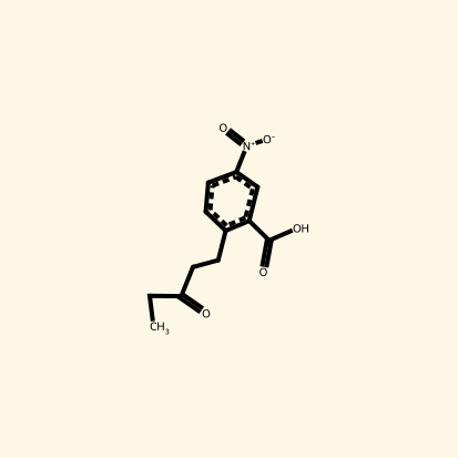 CCC(=O)CCc1ccc([N+](=O)[O-])cc1C(=O)O